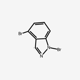 Brc1cccc2c1[c]nn2Br